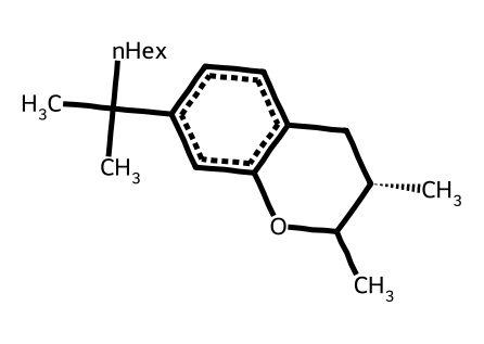 CCCCCCC(C)(C)c1ccc2c(c1)OC(C)[C@@H](C)C2